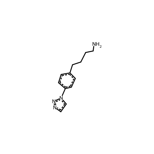 NCCCCc1ccc(-n2ccnn2)cc1